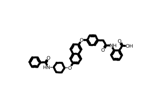 O=C(Cc1ccc(Oc2ccc3cc(O[C@H]4CC[C@@H](NC(=O)c5ccccc5)CC4)ccc3c2)cc1)Nc1ccccc1C(=O)O